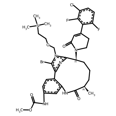 COC(=O)Nc1ccc2c(c1)NC(=O)[C@H](C)CCC[C@H](N1CCC(c3c(F)ccc(Cl)c3F)=CC1=O)c1nc-2c(Br)n1COCC[Si](C)(C)C